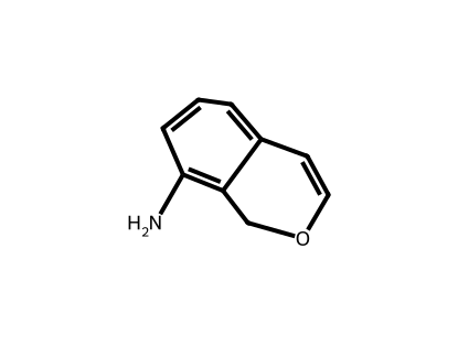 Nc1cccc2c1COC=C2